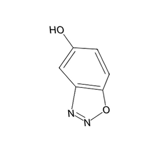 Oc1ccc2onnc2c1